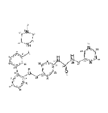 CN1CCN(Cc2cccc(-c3ccccc3OCc3ccc(NC(=O)NCc4cccnc4)cc3)c2)CC1